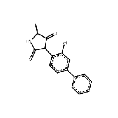 CC1NC(=O)C(c2ccc(-c3ccccc3)cc2Cl)C1=O